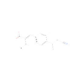 CC(CC#N)c1cc2c(cc1Cl)C=C(C(=O)O)C(C(F)(F)F)O2